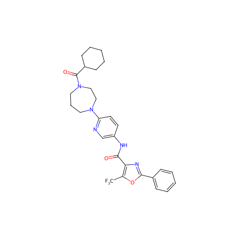 O=C(Nc1ccc(N2CCCN(C(=O)C3CCCCC3)CC2)nc1)c1nc(-c2ccccc2)oc1C(F)(F)F